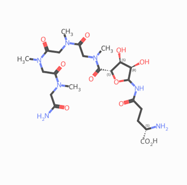 CN(CC(N)=O)C(=O)CN(C)C(=O)CN(C)C(=O)CN(C)C(=O)[C@H]1OC(NC(=O)CC[C@H](N)C(=O)O)[C@H](O)[C@@H]1O